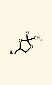 CCC(C)C1COC(C)(CC)O1